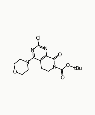 CC(C)(C)OC(=O)N1CCc2c(nc(Cl)nc2N2CCOCC2)C1=O